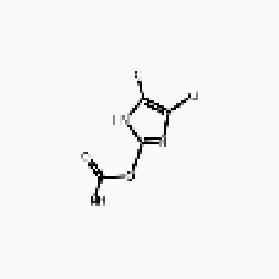 NC(=O)Oc1nc(Cl)c(Cl)[nH]1